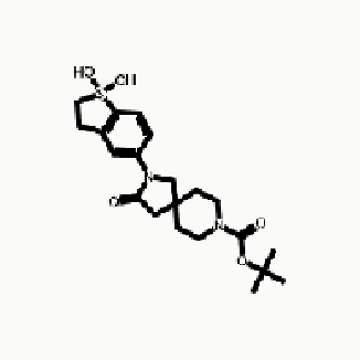 CC(C)(C)OC(=O)N1CCC2(CC1)CC(=O)N(c1ccc3c(c1)CCS3(O)O)C2